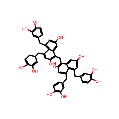 OC1=CCC(Cc2cc(O)c(Cc3c(O)cc(Cc4ccc(O)c(O)c4)c4c(Cc5ccc(O)c(O)c5)cc(O)cc34)c3cc(O)cc(Cc4ccc(O)c(O)c4)c23)C=C1O